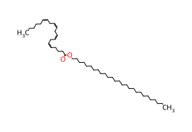 CCCCC/C=C\C/C=C\C/C=C\C/C=C\CCCC(=O)OCCCCCCCCCCCCCCCCCCCCCCCCCCC